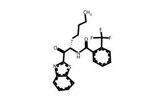 CCCCC[C@H](NC(=O)c1ccccc1C(F)(F)F)C(=O)c1nc2ccccc2s1